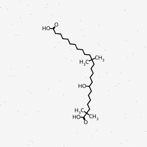 CC(C)(CCCCCCCCCCC(=O)O)CCCCCC(O)CCCCCC(C)(C)C(=O)O